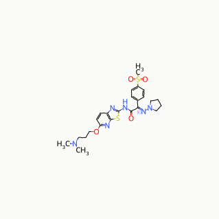 CN(C)CCCOc1ccc2nc(NC(=O)/C(=N/N3CCCC3)c3ccc(S(C)(=O)=O)cc3)sc2n1